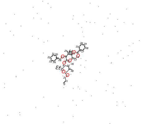 C=CCO[C@@H]1OC(CC)[C@@H](O[C@@H]2OC3COC(c4ccccc4)O[C@H]3[C@H](C)C2OCc2ccccc2)[C@H](C)C1C